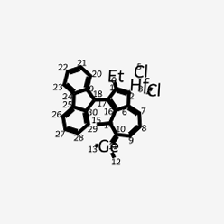 CCC1=[C]([Hf]([Cl])[Cl])C2=CC=C[C](=[Ge]([CH3])[CH3])C(C)C2=C1C1c2ccccc2-c2ccccc21